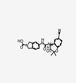 CC1(C)Oc2ccc(C#N)cc2[C@@H](NC(=O)Nc2ccc3c(c2)CN(C(=O)O)C3)[C@@H]1O